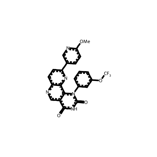 COc1ccc(-c2ccc3ncc4c(=O)[nH]c(=O)n(-c5cccc(OC(F)(F)F)c5)c4c3n2)cn1